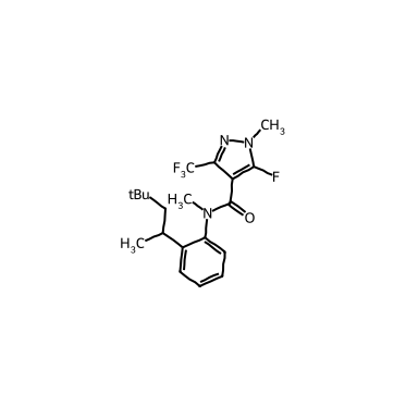 CC(CC(C)(C)C)c1ccccc1N(C)C(=O)c1c(C(F)(F)F)nn(C)c1F